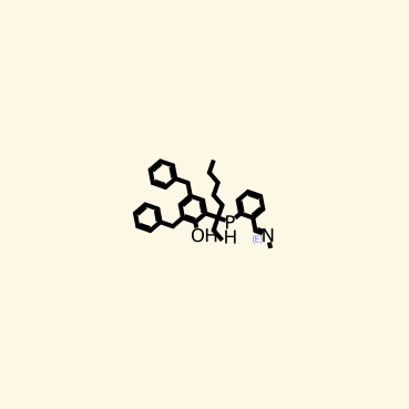 CCCCCC(CC)(Pc1ccccc1/C=N/C)c1cc(Cc2ccccc2)cc(Cc2ccccc2)c1O